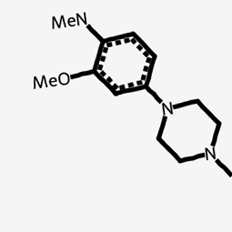 CNc1ccc(N2CCN(C)CC2)cc1OC